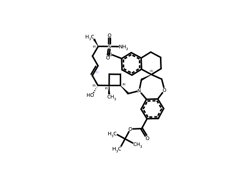 C[C@H](C/C=C/[C@@H](O)[C@]1(C)CC[C@H]1CN1C[C@@]2(CCCc3cc(Cl)ccc32)COc2ccc(C(=O)OC(C)(C)C)cc21)S(N)(=O)=O